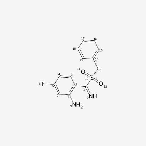 N=C(c1ccc(F)cc1N)S(=O)(=O)Cc1ccccc1